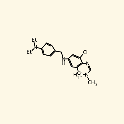 CCN(CC)c1ccc(CNc2cc(Cl)c(/N=C\N(C)C)c(Cl)c2)cc1